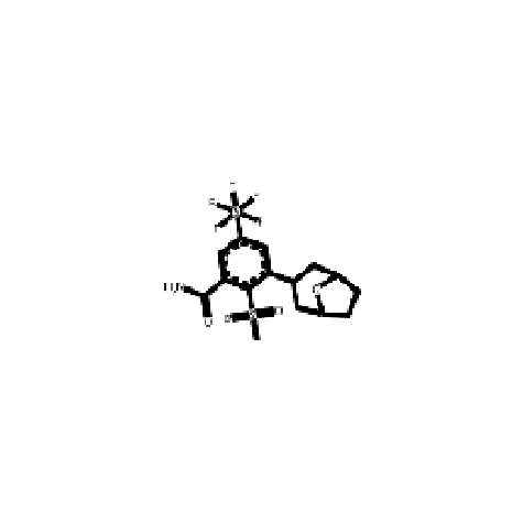 CS(=O)(=O)c1c(C(N)=O)cc(S(F)(F)(F)(F)F)cc1C1CC2CCC(C1)O2